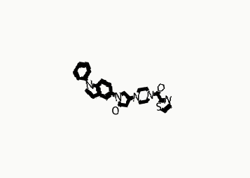 O=C(c1nccs1)N1CCN(C2CC(=O)N(c3ccc4c(ccn4-c4ccccc4)c3)C2)CC1